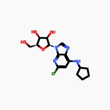 OC[C@H]1O[C@@H](n2cnc3c(NC4CCCC4)cc(Cl)nc32)[C@H](O)[C@@H]1O